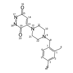 Cc1cc(F)ccc1CN1CCN(C2=CC(=O)N=NC2=O)CC1